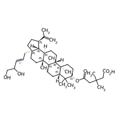 C=C(C)[C@@H]1CC[C@]2(C/C=C/C(O)CO)CC[C@]3(C)[C@H](CC[C@@H]4[C@@]5(C)CC[C@H](OC(=O)CC(C)(C)CC(=O)O)C(C)(C)[C@@H]5CC[C@]43C)[C@@H]12